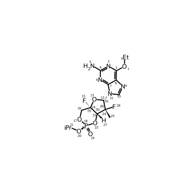 CCOc1nc(N)nc2c1ncn2[C@H]1O[C@]2(F)CO[P@](=O)(OC(C)C)O[C@H]2[C@@]1(C)F